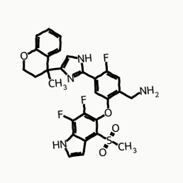 CC1(c2c[nH]c(-c3cc(Oc4c(F)c(F)c5[nH]ccc5c4S(C)(=O)=O)c(CN)cc3F)n2)CCOc2ccccc21